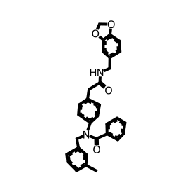 Cc1cccc(CN(C(=O)c2ccccc2)c2ccc(CC(=O)NCc3ccc4c(c3)OCO4)cc2)c1